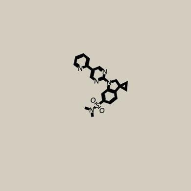 CN(C)S(=O)(=O)c1ccc2c(c1)N(c1ncc(-c3ccccn3)cn1)CC21CC1